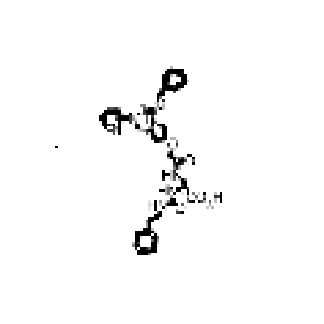 O=C(CO[C@@H]1C[C@@H](CNc2ccccn2)N(C(=O)OCc2ccccc2)C1)NC[C@H](NC(=O)NCCc1ccccc1)C(=O)O